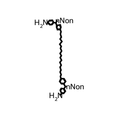 CCCCCCCCCC(c1ccc(N)cc1)c1ccc(CCCCCCCCCCCCCCCCCCCCc2ccc(C(CCCCCCCCC)c3ccc(N)cc3)cc2)cc1